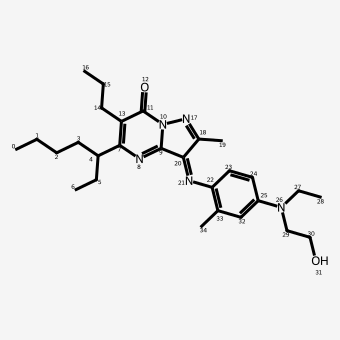 CCCCC(CC)c1nc2n(c(=O)c1CCC)N=C(C)C2=Nc1ccc(N(CC)CCO)cc1C